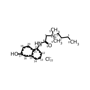 CCCC[N+](C)(C)CC(=O)Nc1cccc2cc(O)ccc12.[Cl-]